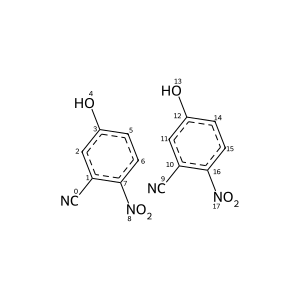 N#Cc1cc(O)ccc1[N+](=O)[O-].N#Cc1cc(O)ccc1[N+](=O)[O-]